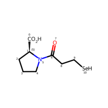 O=C(O)[C@@H]1CCCN1C(=O)CC[SeH]